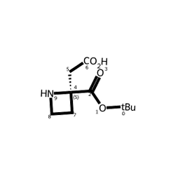 CC(C)(C)OC(=O)[C@@]1(CC(=O)O)CCN1